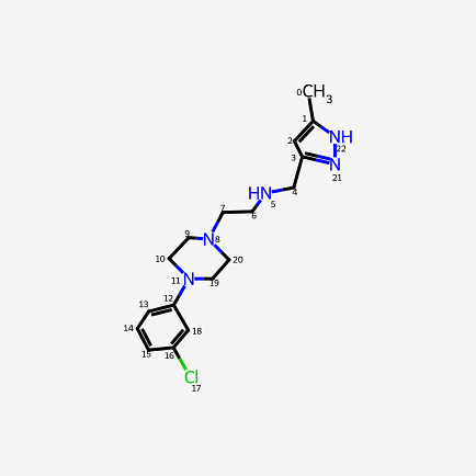 Cc1cc(CNCCN2CCN(c3cccc(Cl)c3)CC2)n[nH]1